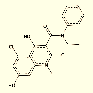 CCN(C(=O)c1c(O)c2c(Cl)cc(O)cc2n(C)c1=O)c1ccccc1